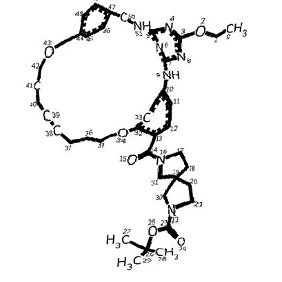 CCOc1nc2nc(n1)Nc1ccc(C(=O)N3CCC4(CCN(C(=O)OC(C)(C)C)C4)C3)c(c1)OCCCCCCCCOc1ccc(cc1)CN2